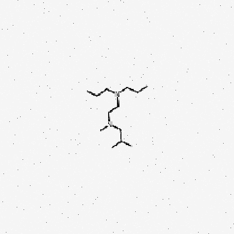 CCCN(CCC)CCN(C)CC(C)C